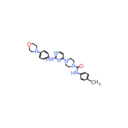 Cc1ccc(NC(=O)N2CCN(c3ccnc(Nc4ccc(N5CCOCC5)cc4)n3)CC2)cc1